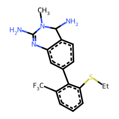 CCSc1cccc(C(F)(F)F)c1-c1ccc2c(c1)N=C(N)N(C)C2N